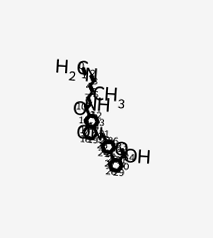 C=C/N=C\C=C(/C)CNC(=O)c1ccc2c(c1)OCCN2Cc1ccc(-c2ccccc2C(=O)O)cc1